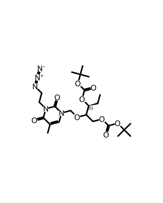 CC[C@H](OC(=O)OC(C)(C)C)C(COC(=O)OC(C)(C)C)OCn1cc(C)c(=O)n(CCN=[N+]=[N-])c1=O